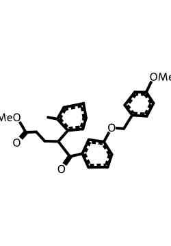 COC(=O)CCC(C(=O)c1cccc(OCc2ccc(OC)cc2)c1)c1ccccc1C